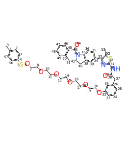 Cc1ccc(SOCCOCCOCCOCCOCCOc2cccc(CC(=O)Nc3nc(-c4ccc5c(c4)CCN5C(=O)c4ccccc4C)c(C)s3)c2)cc1